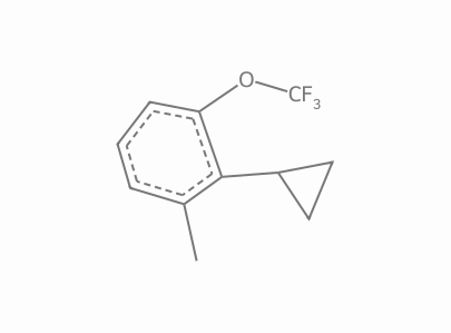 Cc1cccc(OC(F)(F)F)c1C1CC1